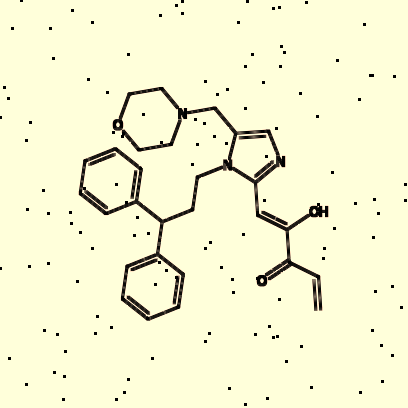 C=CC(=O)/C(O)=C/c1ncc(CN2CCOCC2)n1CCC(c1ccccc1)c1ccccc1